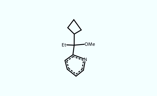 CCC(OC)(c1ccccn1)C1CCC1